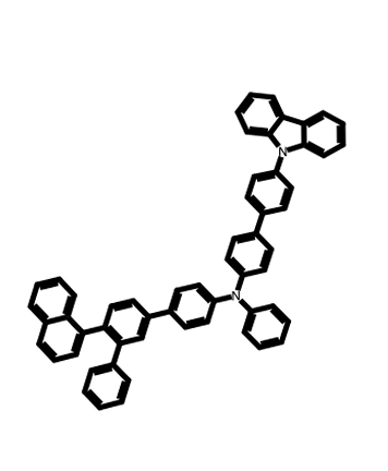 c1ccc(-c2cc(-c3ccc(N(c4ccccc4)c4ccc(-c5ccc(-n6c7ccccc7c7ccccc76)cc5)cc4)cc3)ccc2-c2cccc3ccccc23)cc1